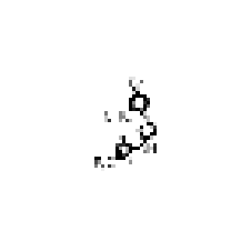 O=Cc1cc(Br)ccc1N1CCC(Nc2nc(C(F)(F)F)cs2)C1